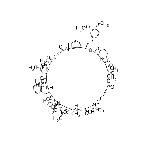 CCC(C)C1C(=O)C(C)(C)NCC(=O)C(C)(C)N(C)CC/C=C\C(=O)OCC(C)(C)C(=O)C(=O)N2CCCCC2C(=O)O[C@H](CCc2ccc(OC)c(OC)c2)c2cccc(c2)NC(=O)CCC(=O)C(C)(C)N(C)C(CC(C)C)C(=O)C(C)(C)N[C@H](Cc2ccccc2)C(=O)C(C)(C)N1C